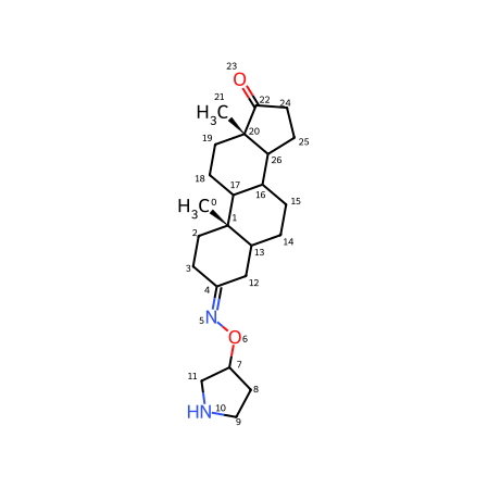 C[C@]12CC/C(=N/OC3CCNC3)CC1CCC1C2CC[C@]2(C)C(=O)CCC12